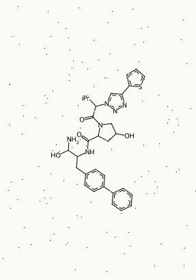 CC(C)C(C(=O)N1CC(O)CC1C(=O)NC(Cc1ccc(-c2ccccc2)cc1)C(N)O)n1cc(-c2cccs2)nn1